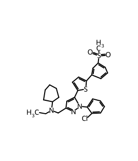 CCN(Cc1cc(-c2ccc(-c3cccc(S(C)(=O)=O)c3)s2)n(-c2ccccc2Cl)n1)C1CCCCC1